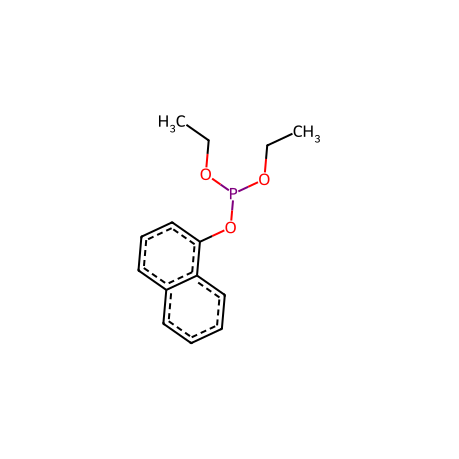 CCOP(OCC)Oc1cccc2ccccc12